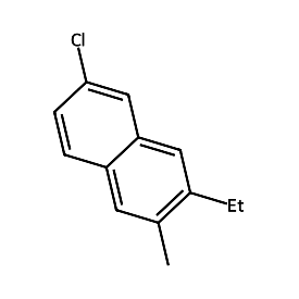 CCc1cc2cc(Cl)ccc2cc1C